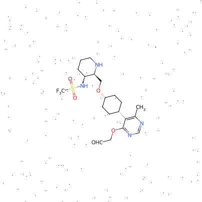 Cc1ncnc(OCC=O)c1[C@H]1CC[C@@H](OC[C@@H]2NCCC[C@@H]2NS(=O)(=O)C(F)(F)F)CC1